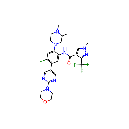 CC1CN(c2cc(F)c(-c3cnc(N4CCOCC4)nc3)cc2NC(=O)c2cn(C)nc2C(F)(F)F)CCN1C